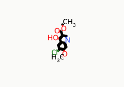 CCOC(=O)c1cnc2cc(OC)c(Cl)cc2c1O